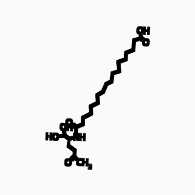 CC(=O)CC[C@H](NC(=O)CCCCCCCCCCCCCCCCC(=O)O)C(O)O